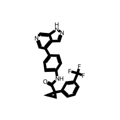 O=C(Nc1ccc(-c2cncc3[nH]ncc23)cc1)C1(c2cccc(C(F)(F)F)c2)CC1